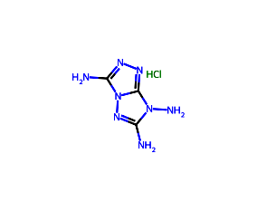 Cl.Nc1nn2c(N)nnc2n1N